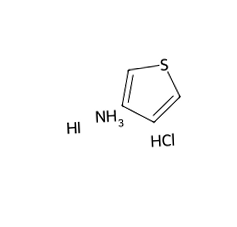 Cl.I.N.c1ccsc1